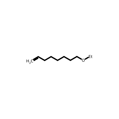 C=CCCCCCCOCC